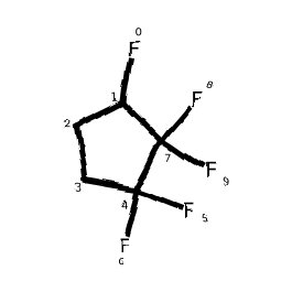 FC1CCC(F)(F)C1(F)F